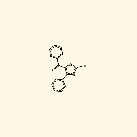 Cn1cc(C(=O)c2ccccc2)c(-c2ccccc2)n1